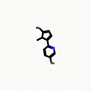 CC1C(c2ccc(C(C)(C)C)cn2)=CC=C1C(C)(C)C